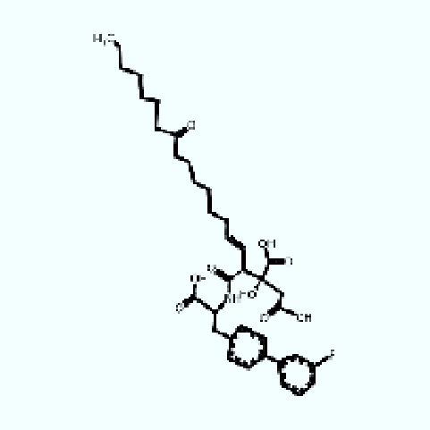 CCCCCCCC(=O)CCCCCC/C=C/[C@H](C(=O)N[C@@H](Cc1ccc(-c2cccc(F)c2)cc1)C(=O)O)[C@@](O)(CC(=O)O)C(=O)O